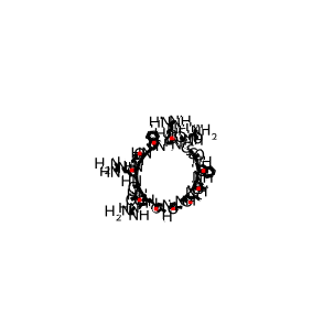 CC[C@H](C)[C@@H]1NC(=O)[C@H](CC(C)C)NC(=O)[C@H](Cc2ccccc2)NC(=O)CSC[C@@H](C(=O)NCC(N)=O)NC(=O)[C@H](CCCNC(=N)N)NC(=O)[C@H](Cc2ccccc2)NC(=O)[C@H](C(C)C)NC(=O)[C@H](CCCNC(=N)N)NC(=O)[C@H](CC(=O)O)NC(=O)[C@H](CCCNC(=N)N)NC(=O)[C@H](C(C)C)NC(=O)[C@H](C(C)C)NC1=O